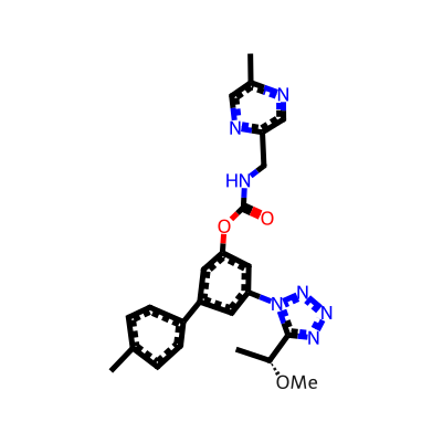 CO[C@H](C)c1nnnn1-c1cc(OC(=O)NCc2cnc(C)cn2)cc(-c2ccc(C)cc2)c1